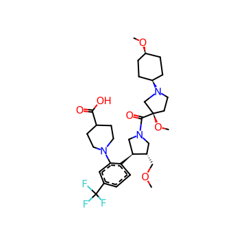 COC[C@H]1CN(C(=O)[C@@]2(OC)CCN([C@H]3CC[C@@H](OC)CC3)C2)C[C@@H]1c1ccc(C(F)(F)F)cc1N1CCC(C(=O)O)CC1